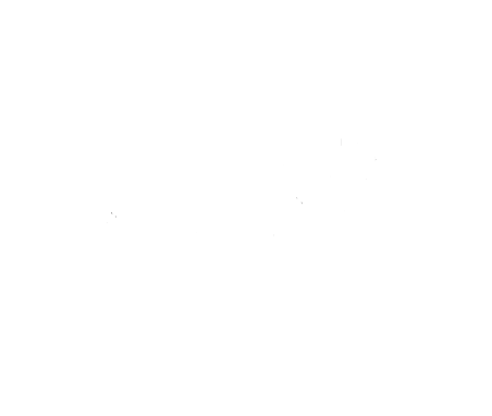 NCc1cccc(-c2cccc(Oc3nc(Oc4c(C(=O)O)ccc5ccccc45)c(F)cc3F)c2)c1